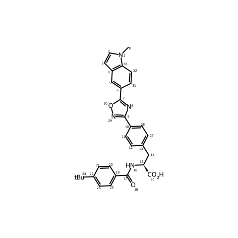 Cn1ccc2cc(-c3nc(-c4ccc(C[C@H](NC(=O)c5ccc(C(C)(C)C)cc5)C(=O)O)cc4)no3)ccc21